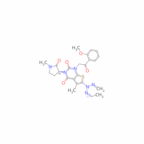 C=NN(/N=C\C)c1sc2c(c1C)c(=O)n([C@H]1CCN(C)C1=O)c(=O)n2CC(=O)c1ccccc1OC